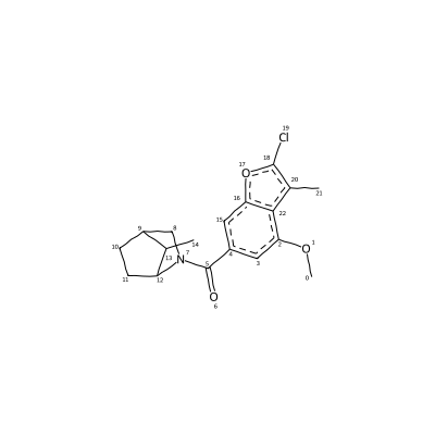 COc1cc(C(=O)N2CC3CCC2C3C)cc2oc(Cl)c(C)c12